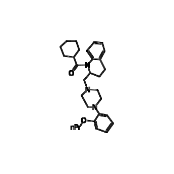 CCCOc1ccccc1N1CCN(CC2CCc3ccccc3N2C(=O)C2CCCCC2)CC1